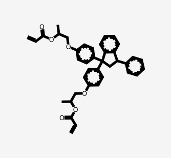 C=CC(=O)OC(C)COc1ccc(C2(c3ccc(OCC(C)OC(=O)C=C)cc3)CC(c3ccccc3)c3ccccc32)cc1